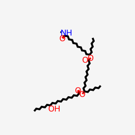 CCCCCCC(O)CCCCCCCCCCC(=O)OC(CCCCCC)CCCCCCCCCCC(=O)OC(CCCCCC)CCCCCCCCCCC(=O)NC